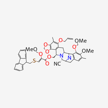 C=CCOc1c(C)c2c(c3c1CC1C4c5c(cc(C)c(OC)c5OCOC)CC([C@H](C#N)N1[C@H]3COC(=O)/C(=C/SCC1c3ccccc3-c3ccccc31)OCOC)N4C)OCO2